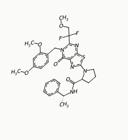 COCC(F)(F)c1nc2sc(N3CCCC3C(=O)N[C@H](C)c3ccccc3)nc2c(=O)n1Cc1ccc(OC)cc1OC